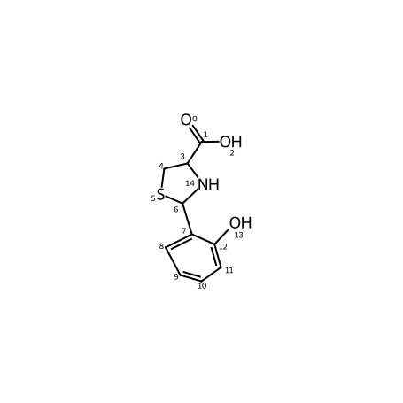 O=C(O)C1CSC(c2ccccc2O)N1